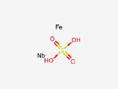 O=S(=O)(O)O.[Fe].[Nb]